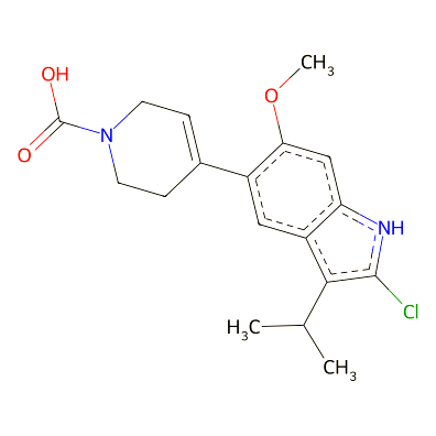 COc1cc2[nH]c(Cl)c(C(C)C)c2cc1C1=CCN(C(=O)O)CC1